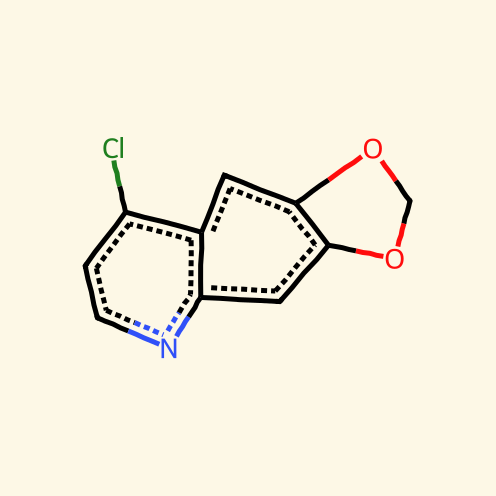 Clc1ccnc2cc3c(cc12)OCO3